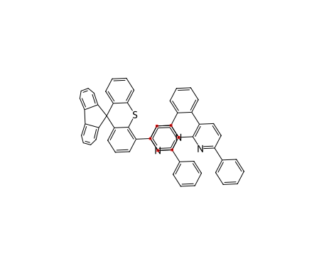 c1ccc(-c2ccc(-c3ccccc3-c3cc(-c4cccc5c4Sc4ccccc4C54c5ccccc5-c5ccccc54)nc(-c4ccccc4)n3)c(-c3ccccc3)n2)cc1